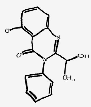 CC(O)c1nc2cccc(Cl)c2c(=O)n1-c1ccccc1